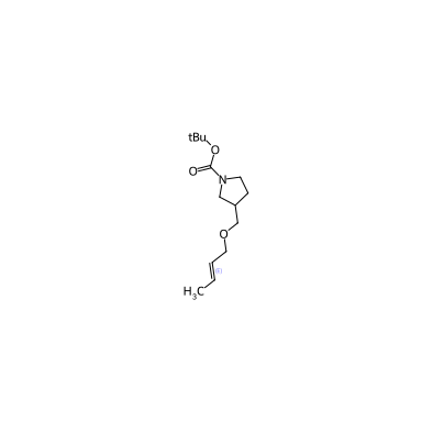 C/C=C/COCC1CCN(C(=O)OC(C)(C)C)C1